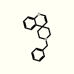 C1=CC2(CCN(Cc3ccccc3)CC2)c2ccccc2O1